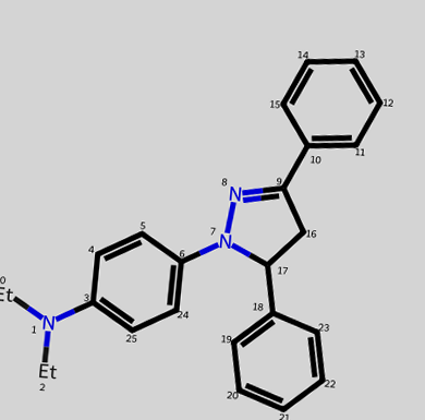 CCN(CC)c1ccc(N2N=C(c3ccccc3)CC2c2ccccc2)cc1